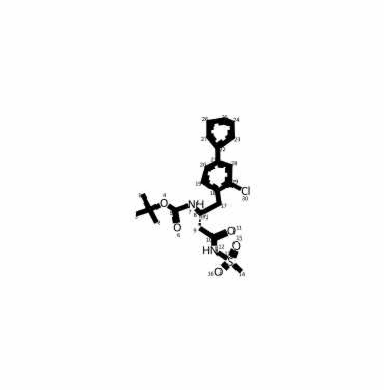 CC(C)(C)OC(=O)N[C@@H](CC(=O)NS(C)(=O)=O)Cc1ccc(-c2ccccc2)cc1Cl